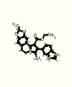 CCOC(=O)c1c(-c2ccc3nc[nH]c3c2)c(C)n2c1-c1cc3c(cc1CC2)OC(C)O3